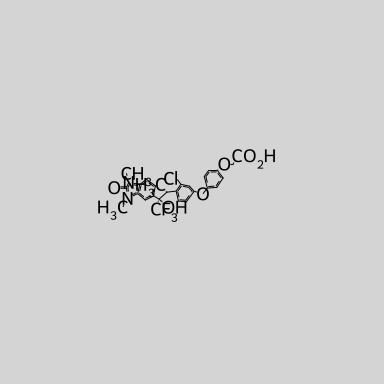 C[C@H](c1ccc(Oc2ccc(OCC(=O)O)cc2)cc1Cl)[C@@](O)(c1ccc2c(c1)n(C)c(=O)n2C)C(F)(F)F